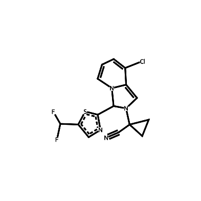 N#CC1(N2C=C3C(Cl)=CC=CN3C2c2ncc(C(F)F)s2)CC1